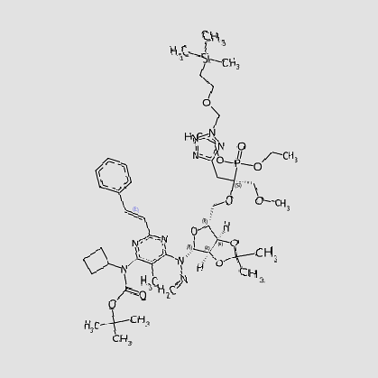 C=NN(c1nc(/C=C/c2ccccc2)nc(N(C(=O)OC(C)(C)C)C2CCC2)c1C)[C@@H]1O[C@H](CO[C@@](COC)(Cc2nnn(COCC[Si](C)(C)C)n2)P(=O)(OCC)OCC)[C@H]2OC(C)(C)O[C@H]21